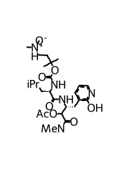 CNC(=O)C(OC(C)=O)[C@@H](Cc1cccnc1O)NC(=O)[C@@H](CC(C)C)NC(=O)OC(C)(C)CC[NH+](C)[O-]